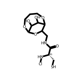 O=C(NCC1OC2OCCCOC1C(O)C2O)[C@H](CS)NCl